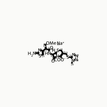 CO/N=C(\C(=O)NC1C(=O)N2C(C(=O)[O-])=C(CSc3nnnn3C)CS[C@H]12)c1csc(N)n1.[Na+]